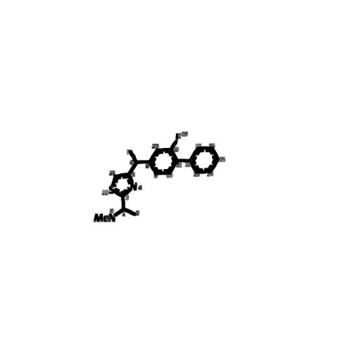 CNC(C)c1nc(C(C)c2ccc(-c3ccccc3)c(F)c2)cs1